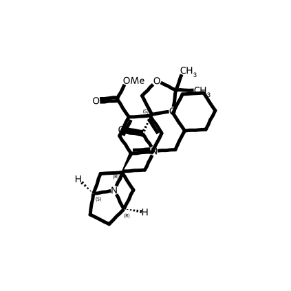 COC(=O)c1cccc([C@H]2C[C@H]3CC[C@@H](C2)N3CCN(CC2CCCCC2)C(=O)[C@@H]2COC(C)(C)O2)c1